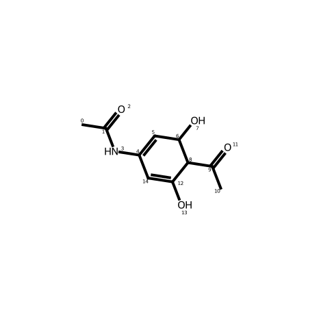 CC(=O)NC1=CC(O)C(C(C)=O)C(O)=C1